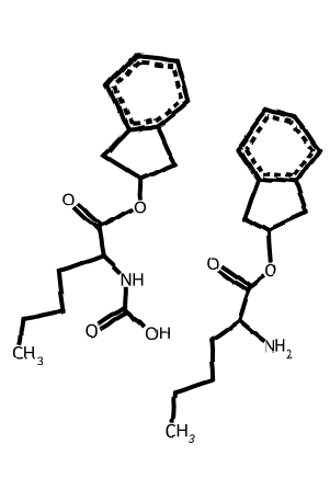 CCCCC(N)C(=O)OC1Cc2ccccc2C1.CCCCC(NC(=O)O)C(=O)OC1Cc2ccccc2C1